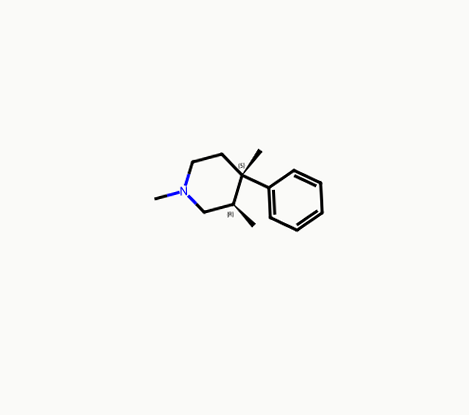 C[C@H]1CN(C)CC[C@]1(C)c1ccccc1